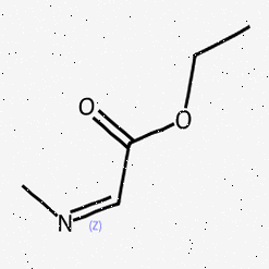 CCOC(=O)/C=N\C